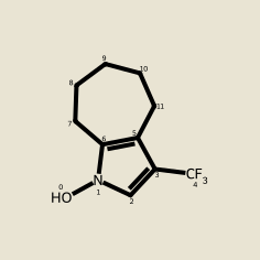 On1cc(C(F)(F)F)c2c1CCCCC2